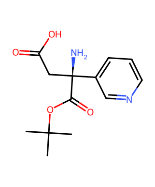 CC(C)(C)OC(=O)[C@](N)(CC(=O)O)c1cccnc1